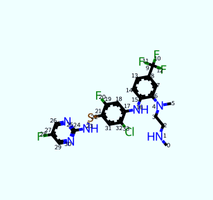 CNCCN(C)c1cc(C(F)(F)F)ccc1Nc1cc(F)c(SNc2ncc(F)cn2)cc1Cl